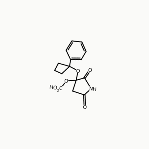 O=C1CC(OC(=O)O)(OC2(c3ccccc3)CCC2)C(=O)N1